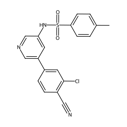 Cc1ccc(S(=O)(=O)Nc2cncc(-c3ccc(C#N)c(Cl)c3)c2)cc1